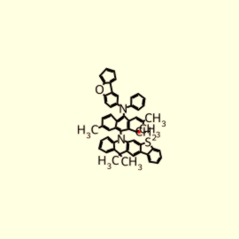 C=Cc1c(C=C(C)C)c(N(c2ccccc2)c2ccc3oc4ccccc4c3c2)c2ccc(C)cc2c1N1c2ccccc2C(C)(C)c2cc3c(cc21)sc1ccccc13